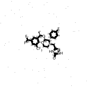 C[C@@H](O[C@H]1OCCN(Cc2n[nH]c(=O)[nH]2)[C@H]1c1ccc(F)cc1)c1cc(C(F)F)cc(C(F)(F)F)c1